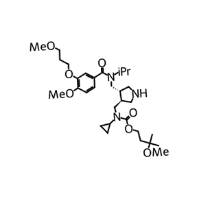 COCCCOc1cc(C(=O)N(C[C@@H]2CNC[C@H]2CN(C(=O)OCCC(C)(C)OC)C2CC2)C(C)C)ccc1OC